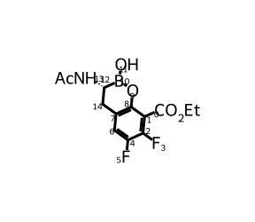 CCOC(=O)c1c(F)c(F)cc2c1OB(O)[C@@H](NC(C)=O)C2